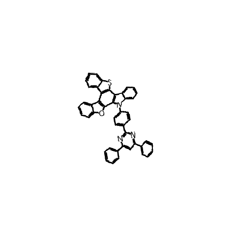 c1ccc(-c2cc(-c3ccccc3)nc(-c3ccc(-n4c5ccccc5c5c6sc7ccccc7c6c6c7ccccc7oc6c54)cc3)n2)cc1